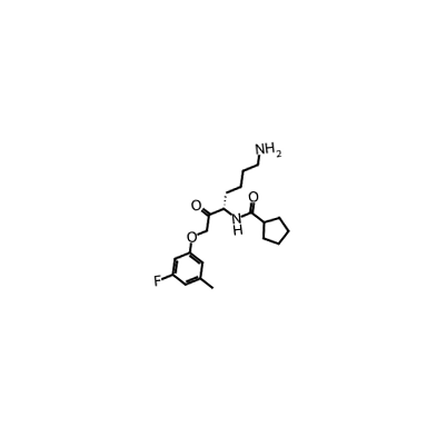 Cc1cc(F)cc(OCC(=O)[C@H](CCCCN)NC(=O)C2CCCC2)c1